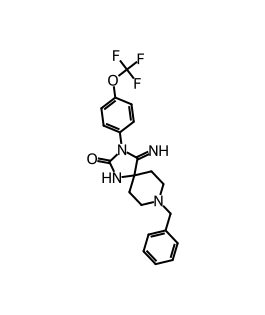 N=C1N(c2ccc(OC(F)(F)F)cc2)C(=O)NC12CCN(Cc1ccccc1)CC2